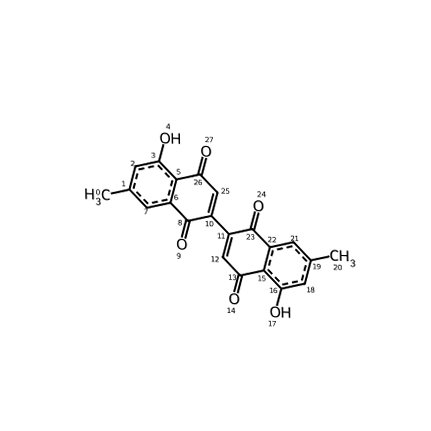 Cc1cc(O)c2c(c1)C(=O)C(C1=CC(=O)c3c(O)cc(C)cc3C1=O)=CC2=O